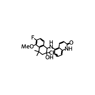 COc1c(F)ccc2c1C(C)(C)CC(O)(C(F)(F)F)C2Nc1cccc2[nH]c(=O)ccc12